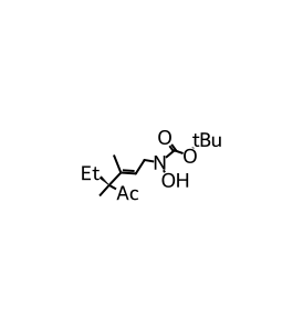 CC[C@](C)(C(C)=O)/C(C)=C/CN(O)C(=O)OC(C)(C)C